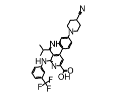 CC(C)C(=N)c1c(-c2ccc(N3CCC(C#N)CC3)cc2)cc(C(=O)O)nc1Nc1cccc(C(F)(F)F)c1